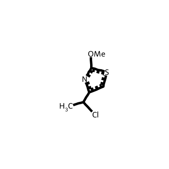 COc1nc(C(C)Cl)cs1